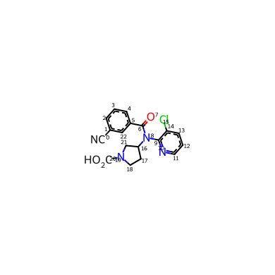 N#Cc1cccc(C(=O)N(c2ncccc2Cl)C2CCN(C(=O)O)C2)c1